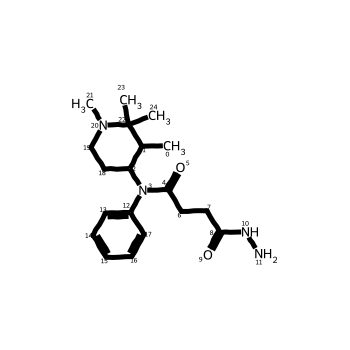 CC1C(N(C(=O)CCC(=O)NN)c2ccccc2)CCN(C)C1(C)C